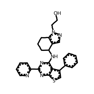 OCCn1ncc2c1CCCC2Nc1nc(-c2ccccn2)nc2scc(-c3ccccc3)c12